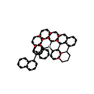 c1ccc(-c2ccc(-c3cccc4ccccc34)cc2N(c2ccccc2-c2cccc3cccc(C4CCCCC4)c23)c2ccccc2-c2cccc3oc4ccccc4c23)cc1